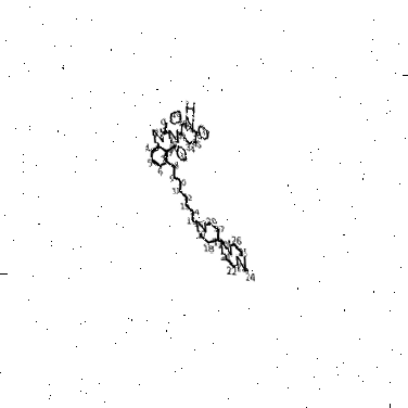 Cc1nc2cccc(CCCCCCCCN3CCC(N4CCN(C)CC4)CC3)c2c(=O)n1C1CCC(=O)NC1=O